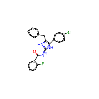 O=C(/N=c1\[nH]c(Cc2ccccc2)c(-c2ccc(Cl)cc2)[nH]1)c1ccccc1F